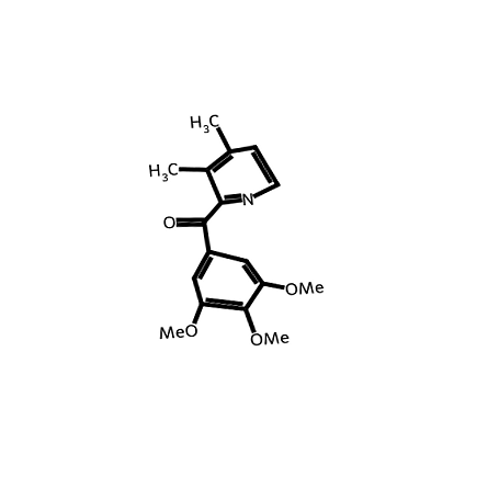 COc1cc(C(=O)c2nccc(C)c2C)cc(OC)c1OC